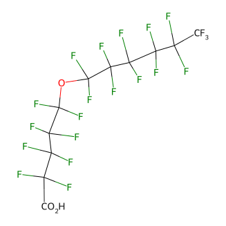 O=C(O)C(F)(F)C(F)(F)C(F)(F)C(F)(F)OC(F)(F)C(F)(F)C(F)(F)C(F)(F)C(F)(F)C(F)(F)F